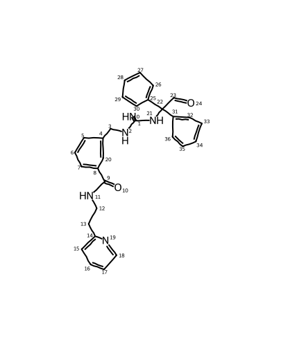 N=C(NCc1cccc(C(=O)NCCc2ccccn2)c1)NC(C=O)(c1ccccc1)c1ccccc1